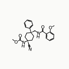 COC(=O)N[C@]1(C#N)CC[C@](CNC(=O)c2ccccc2OC)(c2ccccc2)CC1